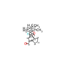 CC(C)[Si](Oc1c(F)cc(C=O)c2c1CCC2)(C(C)C)C(C)C